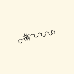 CC/C=C\C/C=C\C/C=C\C/C=C\C/C=C\C/C=C\CCC(=O)N(C)C(C)C(O)c1ccccc1